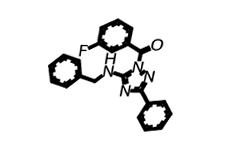 O=C(c1cccc(F)c1)n1nc(-c2ccccc2)nc1NCc1ccccc1